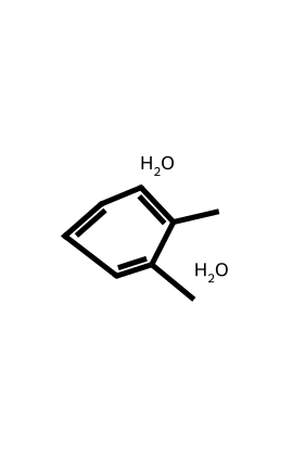 Cc1ccccc1C.O.O